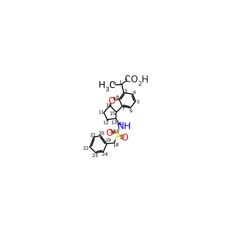 CC(C(=O)O)c1cccc2c1OC1CCC(NS(=O)(=O)Cc3ccccc3)C21